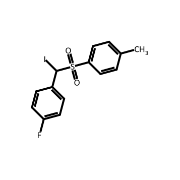 Cc1ccc(S(=O)(=O)C(I)c2ccc(F)cc2)cc1